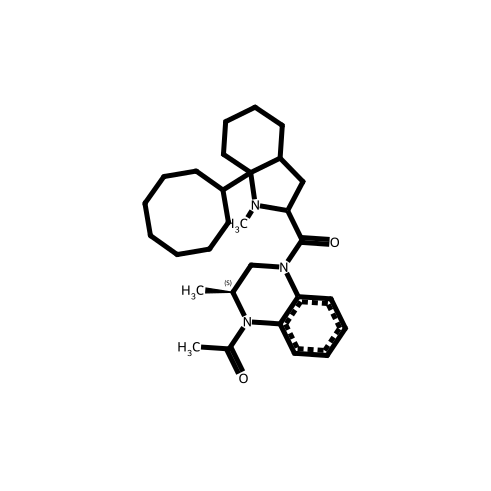 CC(=O)N1c2ccccc2N(C(=O)C2CC3CCCCC3(C3CCCCCCC3)N2C)C[C@@H]1C